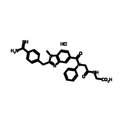 Cl.Cn1c(Cc2ccc(C(=N)N)cc2)nc2cc(C(=O)N(CC(=O)NCC(=O)O)c3ccccc3)ccc21